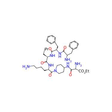 CCOC(=O)C(N)C(=O)NC1CCN(C(=O)[C@@H](CCCCN)NC(=O)[C@@H](CC(C)C)NC(=O)[C@@H](Cc2ccccc2)NC(=O)C(N)Cc2ccccc2)CC1